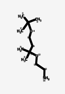 CC(C)(C)OCCC(C)(N)OCCN